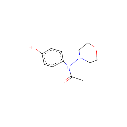 CC(=O)N(c1ccc(O)cc1)N1CCOCC1